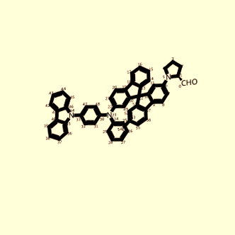 O=C[C@@H]1CCCN1c1ccc2c(c1)C1(c3ccccc3-c3ccc(N(c4ccccc4)c4ccc(-n5c6ccccc6c6ccccc65)cc4)cc31)c1cc(I)ccc1-2